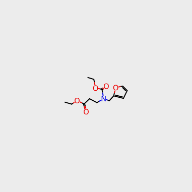 CCOC(=O)CCN(Cc1ccco1)C(=O)OCC